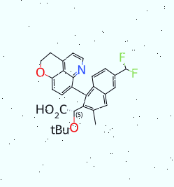 Cc1cc2cc(C(F)F)ccc2c(-c2ccc3c4c(ccnc24)CCO3)c1[C@H](OC(C)(C)C)C(=O)O